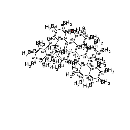 Bc1c(B)c(-c2c3c(B)c(B)c(B)c(B)c3c(-c3c(B)c4c(B)c(B)c5c(B)c(B)c(B)c(B)c5c4c4c(B)c(B)c(B)c(B)c34)c3c(B)c(B)c(B)c(B)c23)c2c(oc3c4c(B)c(B)c(B)c(B)c4c(B)c(B)c32)c1B